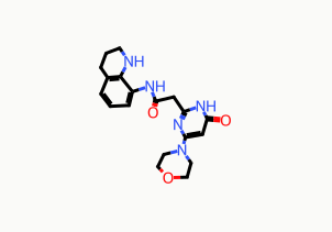 O=C(Cc1nc(N2CCOCC2)cc(=O)[nH]1)Nc1cccc2c1NCCC2